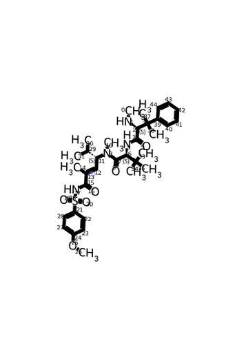 CN[C@H](C(=O)N[C@H](C(=O)N(C)[C@H](/C=C(\C)C(=O)NS(=O)(=O)c1ccc(OC)cc1)C(C)C)C(C)(C)C)C(C)(C)c1ccccc1